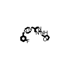 Fc1cccc(CN2CCN(Cc3cnc(NCC4CCCO4)nc3)CC2)c1